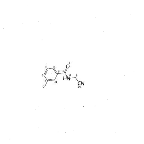 Cc1cccc(C(=O)NCC#N)c1